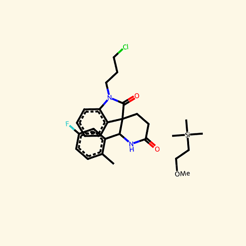 COCC[Si](C)(C)C.Cc1ccc(F)cc1C1NC(=O)CCC12C(=O)N(CCCCl)c1ccccc12